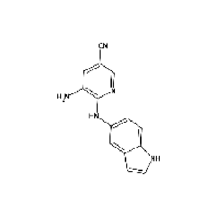 N#Cc1cnc(Nc2ccc3[nH]ccc3c2)c(N)c1